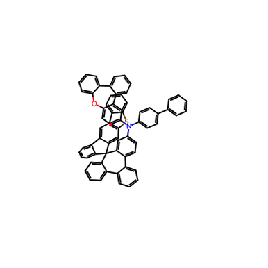 c1ccc(-c2ccc(N(c3ccc4c(c3)-c3ccccc3-c3ccccc3O4)c3ccc4c(c3)C3(c5ccccc5-c5ccccc5-4)c4ccccc4-c4cc5c(cc43)sc3ccccc35)cc2)cc1